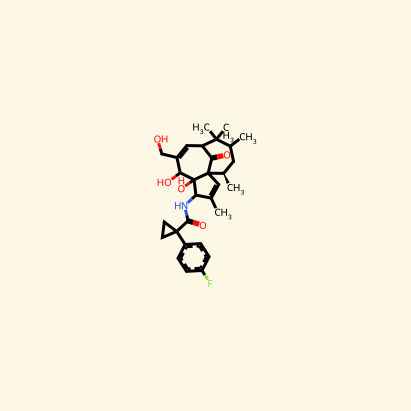 CC1=CC23C(=O)C(C=C(CO)C(O)C2(O)C1NC(=O)C1(c2ccc(F)cc2)CC1)C(C)(C)C(C)C[C@H]3C